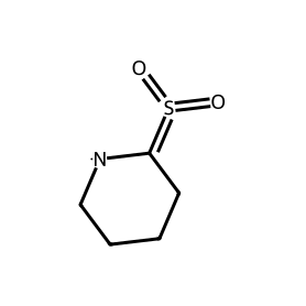 O=S(=O)=C1CCCC[N]1